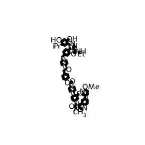 CCNC(=O)c1nnc(-c2cc(C(C)C)c(O)cc2O)n1-c1ccc(CN2CCN(C(=O)Cc3ccc(OC(=O)N4CCN(c5ccc(-n6c(=O)n(C)c7cnc8ccc(-c9ccc(OC)nc9)cc8c76)cc5C(F)(F)F)CC4)cc3)CC2)cc1